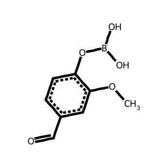 COc1cc(C=O)ccc1OB(O)O